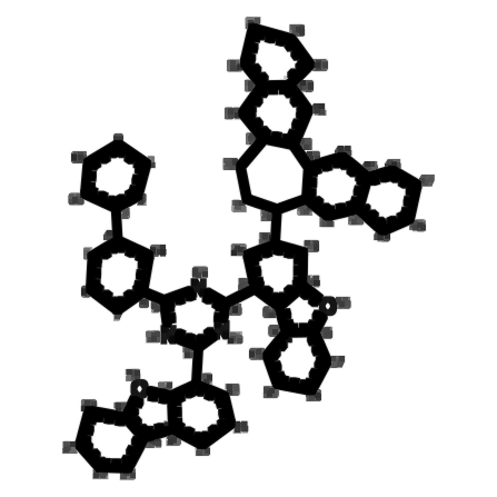 c1ccc(-c2cccc(-c3nc(-c4cccc5c4oc4ccccc45)nc(-c4cc(C5CCc6cc7ccccc7cc6-c6cc7ccccc7cc65)cc5oc6ccccc6c45)n3)c2)cc1